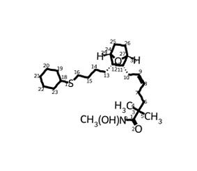 CN(O)C(=O)C(C)(C)CC/C=C\C[C@@H]1[C@H](CCCCSC2CCCCC2)[C@@H]2CC[C@H]1O2